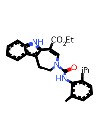 CCOC(=O)C1=CN(C(=O)Nc2c(C)cccc2C(C)C)CCc2c1[nH]c1ccccc21